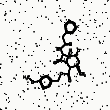 C=C1C[S+]([O-])[C@@H]2C(NC(=O)Cc3ccccc3)C(=O)N2C1C(=O)OCc1ccc(OC)cc1